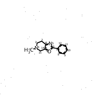 CN1CCc2nc(-c3ccccc3)oc2C1